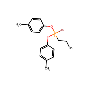 Cc1ccc(O[PH](Br)(CCC(C)C)Oc2ccc(C)cc2)cc1